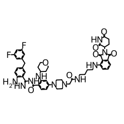 N=C(NC(=O)c1ccc(N2CCN(CC(=O)NCCCCNc3cccc4c3C(=O)N(C3CCC(=O)NC3=O)C4=O)CC2)cc1NC1CCOCC1)c1cc(Cc2cc(F)cc(F)c2)ccc1N